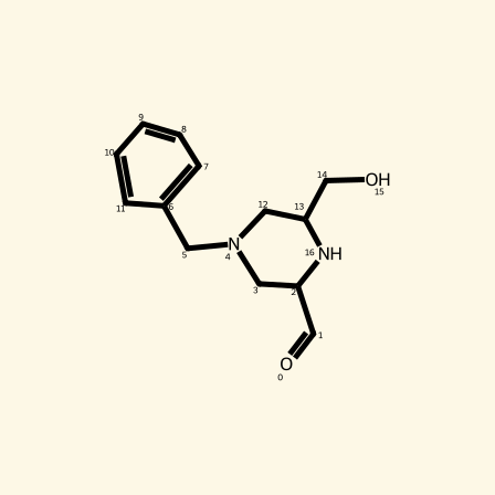 O=CC1CN(Cc2ccccc2)CC(CO)N1